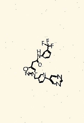 O=C(Cc1c[n+](Cc2ccc(-c3cncnc3)nc2)no1)Nc1cccc(C(F)(F)F)c1